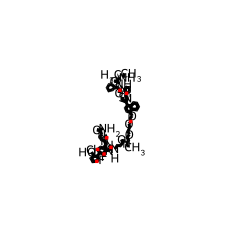 CN[C@@H](C)C(=O)N[C@H](C(=O)N1CCC[C@H]1c1nc(-c2ccc(OCCOCCOCCN(C)C(=O)CCNc3nc(N4CCN(C(N)=O)CC4)c4cc(Cl)c(-c5c(O)cccc5F)c(F)c4n3)c3ccccc23)cs1)C1CCCCC1